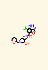 Nc1c(Cl)cc(C(=O)NCC2CCN(CC3CCCCO3)CC2O)c2c1CCO2